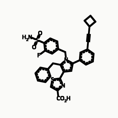 NS(=O)(=O)c1ccc(Cn2c(-c3cccc(C#CC4CCC4)c3)cc(-c3nc(C(=O)O)cs3)c2Cc2ccccc2)cc1F